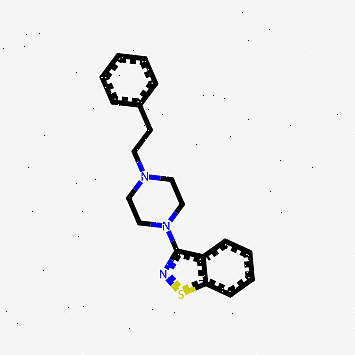 c1ccc(CCN2CCN(c3nsc4ccccc34)CC2)cc1